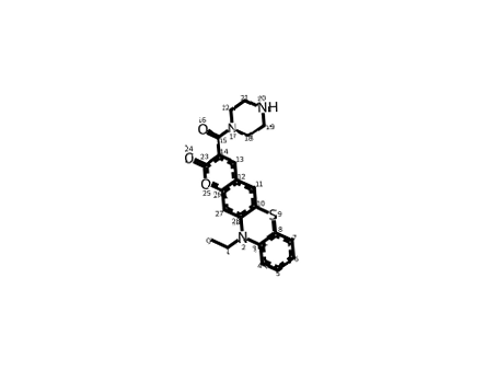 CCN1c2ccccc2Sc2cc3cc(C(=O)N4CCNCC4)c(=O)oc3cc21